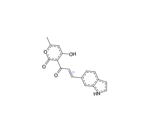 Cc1cc(O)c(C(=O)/C=C/c2ccc3cc[nH]c3c2)c(=O)o1